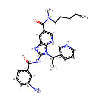 CCCCCN(C)C(=O)c1cnc2c(c1)nc(NC(=O)c1cccc(N)c1)n2C(C)c1cccnc1